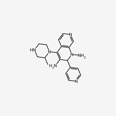 CC1CNCCN1C1=C(N)C(c2ccncc2)N(N)c2cnccc21